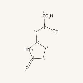 O=C1CCC(CC(O)C(=O)O)N1